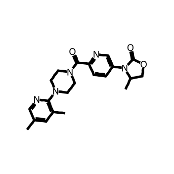 Cc1cnc(N2CCN(C(=O)c3ccc(N4C(=O)OCC4C)cn3)CC2)c(C)c1